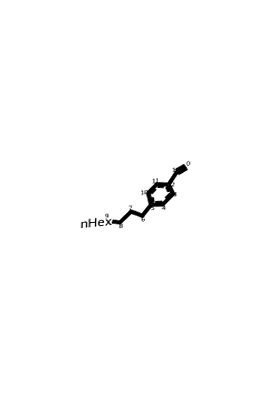 C#Cc1ccc(CCCCCCCCC)cc1